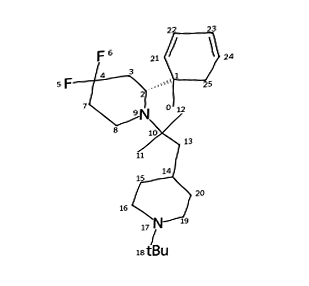 CC1([C@H]2CC(F)(F)CCN2C(C)(C)CC2CCN(C(C)(C)C)CC2)C=CC=CC1